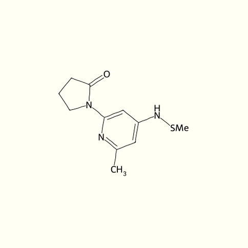 CSNc1cc(C)nc(N2CCCC2=O)c1